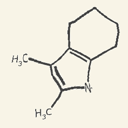 CC1=C(C)C2=C(CCCC2)[N]1